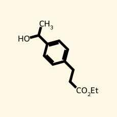 CCOC(=O)CCc1ccc(C(C)O)cc1